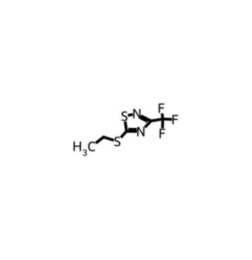 CCSc1nc(C(F)(F)F)ns1